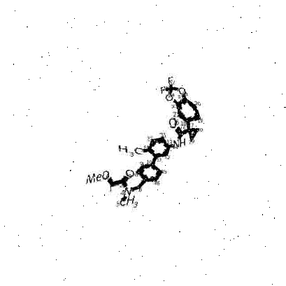 COCC(=O)N(C)Cc1ccc(-c2cc(NC(=O)C3(c4ccc5c(c4)OC(F)(F)O5)CC3)ccc2C)cc1